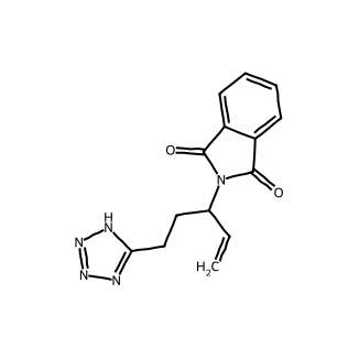 C=CC(CCc1nnn[nH]1)N1C(=O)c2ccccc2C1=O